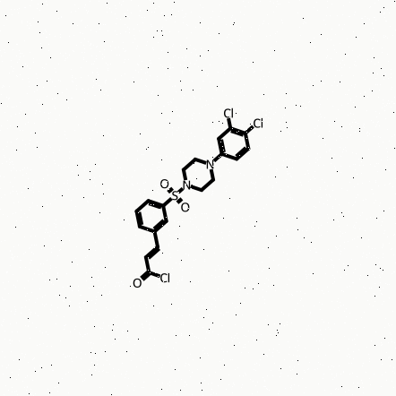 O=C(Cl)C=Cc1cccc(S(=O)(=O)N2CCN(c3ccc(Cl)c(Cl)c3)CC2)c1